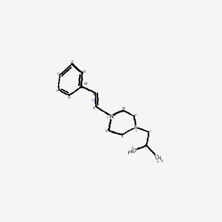 CC(O)CN1CCN(/C=C/c2ccccc2)CC1